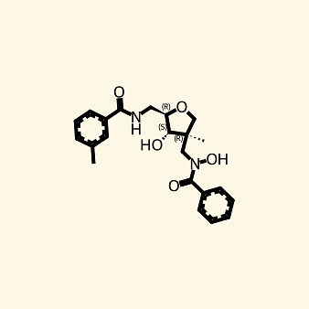 Cc1cccc(C(=O)NC[C@H]2OC[C@@](C)(CN(O)C(=O)c3ccccc3)[C@@H]2O)c1